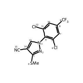 CSc1nn(-c2c(Cl)cc(C(F)(F)F)cc2Cl)cc1C#N